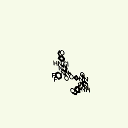 Cn1c(=O)n(C2CC(OCn3c(=O)n(C4CCC(F)(F)CC4)c4nc(Nc5cc6c(cc5Cl)OCC6)ncc43)C2)c2nc(Nc3cc4c(cc3Cl)OCC4)ncc21